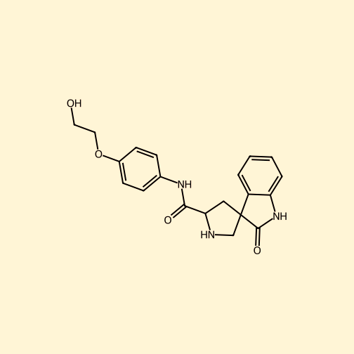 O=C(Nc1ccc(OCCO)cc1)C1CC2(CN1)C(=O)Nc1ccccc12